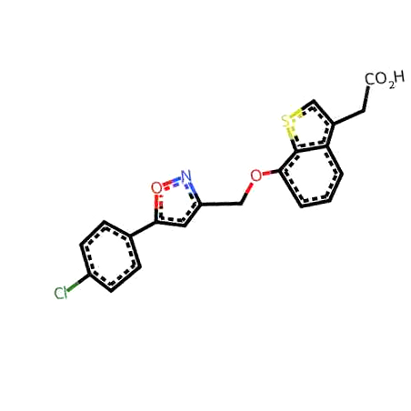 O=C(O)Cc1csc2c(OCc3cc(-c4ccc(Cl)cc4)on3)cccc12